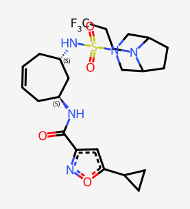 O=C(N[C@H]1CC=CC[C@H](NS(=O)(=O)N2CC3CCC(C2)N3CCC(F)(F)F)C1)c1cc(C2CC2)on1